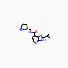 O=C(NC[C@@H]1CCCNC1)c1ccnc2[nH]c(C3CC3)nc12